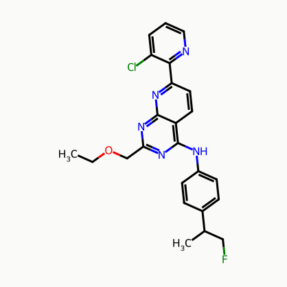 CCOCc1nc(Nc2ccc(C(C)CF)cc2)c2ccc(-c3ncccc3Cl)nc2n1